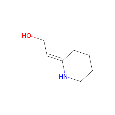 OCC=C1CCCCN1